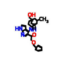 CC1C[C@H]2C[C@](CO)(CCC2Nc2c(C(=O)COCc3ccccc3)cnc3[nH]ccc23)C1